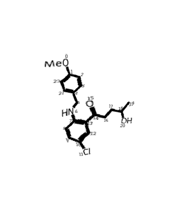 COc1ccc(CNc2ccc(Cl)cc2C(=O)CCC(C)O)cc1